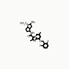 Cc1cc(OCc2c(F)cccc2F)c2nc(C)c(C(=O)NC3CCC4C3CC(C(C)(C)C)N4C(=O)O)n2c1